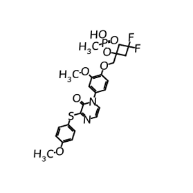 COc1ccc(Sc2nccn(-c3ccc(OCC4(OP(C)(=O)O)CC(F)(F)C4)c(OC)c3)c2=O)cc1